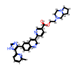 Cc1cccc(-c2[nH]cnc2-c2ccc3ncc(-c4ccc(C(=O)OCCN5CCN6CCCC6C5)cn4)cc3c2)n1